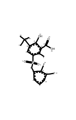 Cc1c(S(=O)(=O)Cc2cccc(F)c2F)cc(C(C)(C)C)c(O)c1C(=O)O